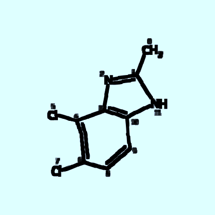 Cc1nc2c(Cl)c(Cl)ccc2[nH]1